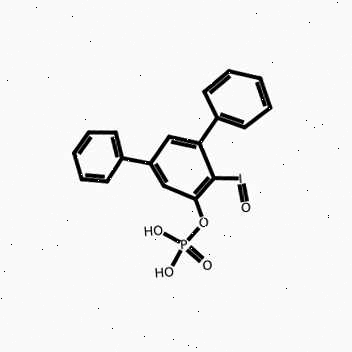 O=Ic1c(OP(=O)(O)O)cc(-c2ccccc2)cc1-c1ccccc1